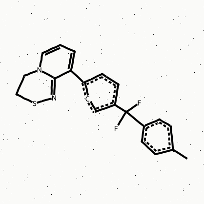 Cc1ccc(C(F)(F)c2ccc(C3=CC=CN4CCSN=C34)cc2)cc1